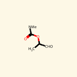 CNC(=O)OC(C)C=O